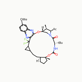 COc1ccc2nc3c(nc2c1)O[C@H]1CN(C(=O)[C@H](C(C)(C)C)NC(=O)O[C@]2(C)CCC[C@H]2CCC2CC2C3(F)F)[C@H](C(C)=O)[C@@H]1C